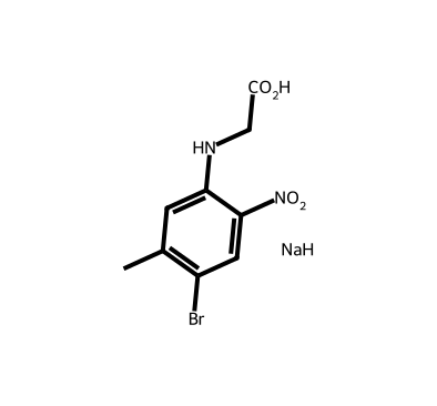 Cc1cc(NCC(=O)O)c([N+](=O)[O-])cc1Br.[NaH]